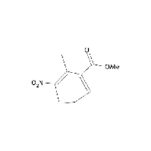 COC(=O)C1=CCCC([N+](=O)[O-])=C1C